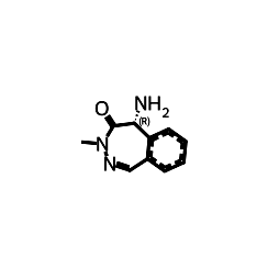 CN1N=Cc2ccccc2[C@@H](N)C1=O